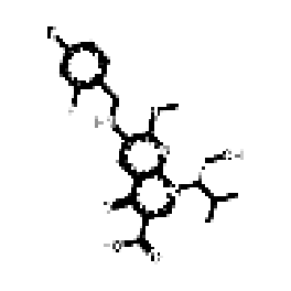 COc1nc2c(cc1NCc1ccc(F)cc1F)c(=O)c(C(=O)O)cn2[C@H](CO)C(C)C